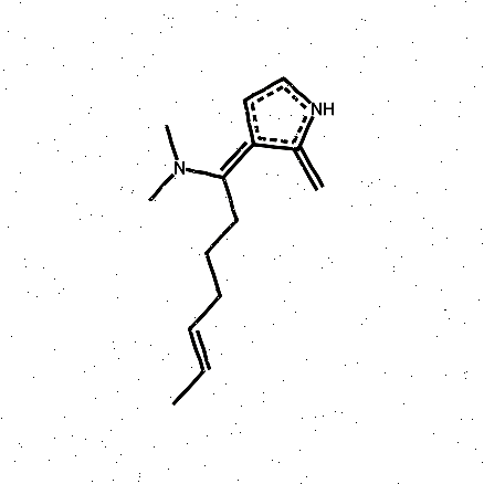 C=c1[nH]cc/c1=C(/CCCC=CC)N(C)C